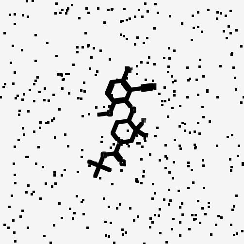 COc1ccc(Br)c(C#N)c1OC1CCN(C(=O)OC(C)(C)C)CC1(F)F